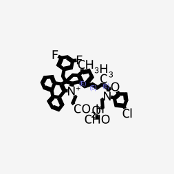 CC(/C=C/C=C/C1=[N+](CCC(=O)O)c2c(c3ccccc3c3ccccc23)C1(Cc1cc(F)cc(F)c1)Cc1ccccc1C)=C1\Oc2ccc(Cl)cc2N1CCOC=O